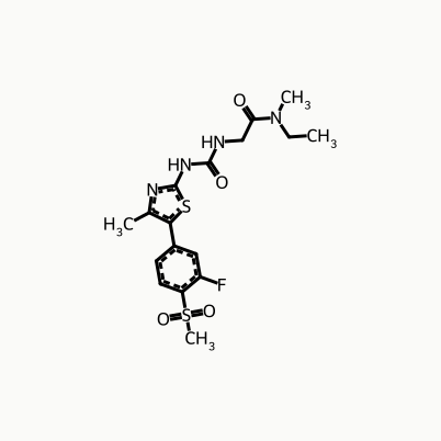 CCN(C)C(=O)CNC(=O)Nc1nc(C)c(-c2ccc(S(C)(=O)=O)c(F)c2)s1